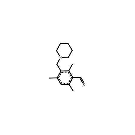 Cc1cc(C)c(CN2CCCCC2)c(C)c1C=O